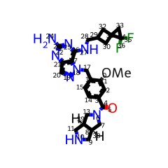 COc1cc(C(=O)N2C[C@H]3CNC[C@H]3C2)ccc1Cn1ncc2nc(N)nc(NCC3CC4(C3)CC4(F)F)c21